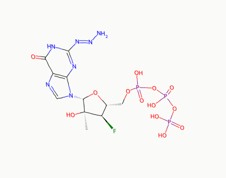 C[C@@]1(O)[C@H](F)[C@@H](COP(=O)(O)OP(=O)(O)OP(=O)(O)O)O[C@H]1n1cnc2c(=O)[nH]c(N=NN)nc21